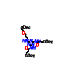 CCCCCCCCCCCCOCCCNc1nc(NC(=O)CCCCCCCCCCCC)nc(NC(=O)CCCCCCCCCCCC)n1